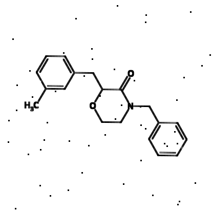 Cc1cccc(CC2OCCN(Cc3ccccc3)C2=O)c1